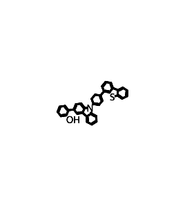 Oc1ccccc1-c1ccc2c(c1)c1ccccc1n2C1=CC=C(c2cccc3c2sc2ccccc23)CC1